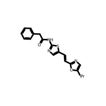 CC(C)c1cnc(C=Cc2cnc(NC(=O)Cc3ccccc3)s2)o1